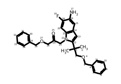 CC(C)(COCc1ccccc1)c1cc2cc(N)c(F)cc2n1CC(=O)COCc1ccccc1